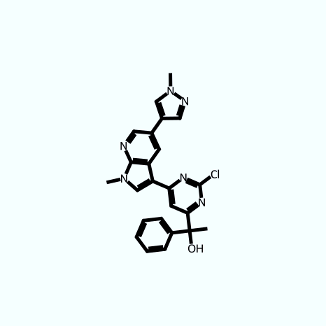 Cn1cc(-c2cnc3c(c2)c(-c2cc(C(C)(O)c4ccccc4)nc(Cl)n2)cn3C)cn1